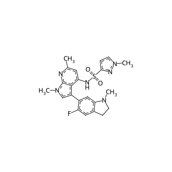 Cc1cc(NS(=O)(=O)c2ccn(C)n2)c2c(-c3cc4c(cc3F)CCN4C)cn(C)c2n1